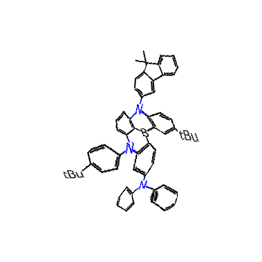 CC(C)(C)c1ccc(N2c3cc(N(c4ccccc4)c4ccccc4)ccc3B3c4cc(C(C)(C)C)ccc4N(c4ccc5c(c4)-c4ccccc4C5(C)C)c4cccc2c43)cc1